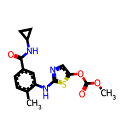 COC(=O)Oc1cnc(Nc2cc(C(=O)NC3CC3)ccc2C)s1